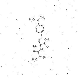 CC(S)C(=O)N[C@@](C)(SCc1ccc(N(C)C)cc1)C(=O)O